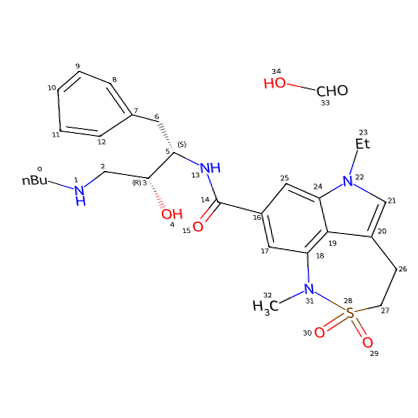 CCCCNC[C@@H](O)[C@H](Cc1ccccc1)NC(=O)c1cc2c3c(cn(CC)c3c1)CCS(=O)(=O)N2C.O=CO